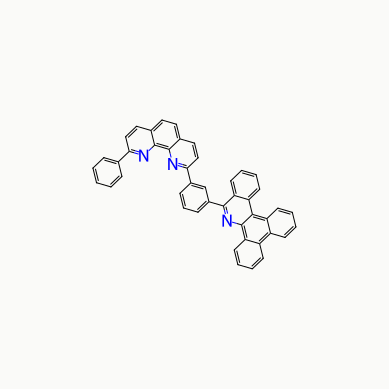 c1ccc(-c2ccc3ccc4ccc(-c5cccc(-c6nc7c8ccccc8c8ccccc8c7c7ccccc67)c5)nc4c3n2)cc1